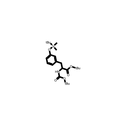 CC(C)(C)OC(=O)NC(Cc1cccc(O[Si](C)(C)C(C)(C)C)c1)C(=O)OC(C)(C)C